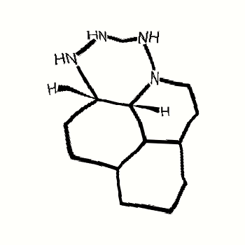 C1CC2CC[C@@H]3NNNN4CCC(C1)C2[C@H]34